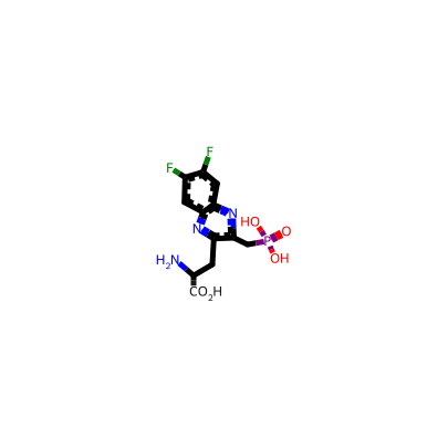 NC(Cc1nc2cc(F)c(F)cc2nc1CP(=O)(O)O)C(=O)O